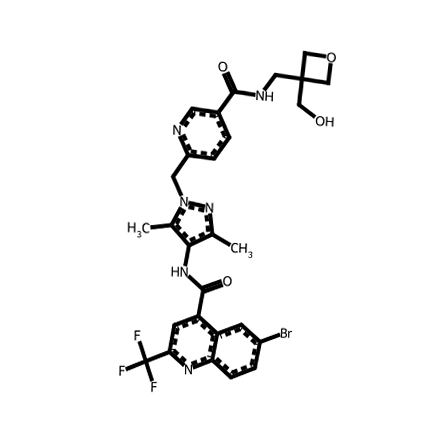 Cc1nn(Cc2ccc(C(=O)NCC3(CO)COC3)cn2)c(C)c1NC(=O)c1cc(C(F)(F)F)nc2ccc(Br)cc12